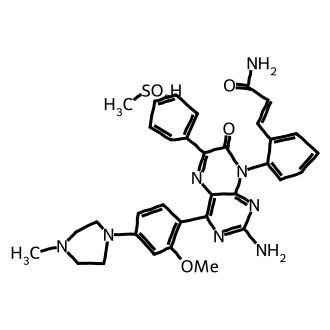 COc1cc(N2CCN(C)CC2)ccc1-c1nc(N)nc2c1nc(-c1ccccc1)c(=O)n2-c1ccccc1C=CC(N)=O.CS(=O)(=O)O